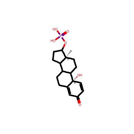 C[C@]12CCC3C(CCC4=CC(=O)C=C[C@@]43O)C1CCC2OP(=O)(O)O